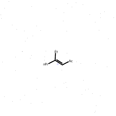 CCC/C(=C/C(C)=O)CC